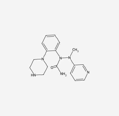 CN(c1cccnc1)N(C(N)=O)c1ccccc1N1CCNCC1